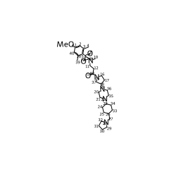 COc1cc(C)c(S(=O)(=O)N(C)CCC(=O)N2CCC(N3CCN([C@H]4CC[C@H](CN5CCCC5)CC4)CC3)C2)c(C)c1